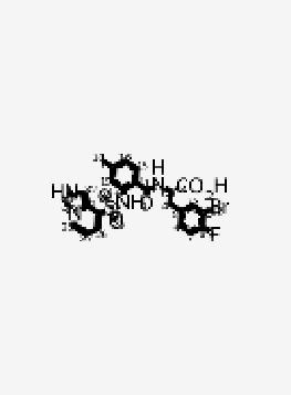 O=C(N[C@@H](Cc1ccc(F)c(Br)c1)C(=O)O)c1ccc(I)cc1NS(=O)(=O)C1=CC=CN2SNC=C12